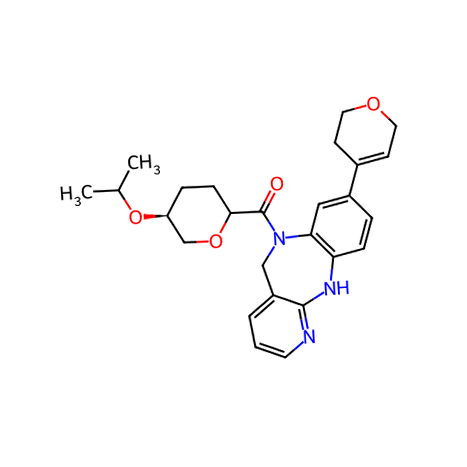 CC(C)O[C@H]1CCC(C(=O)N2Cc3cccnc3Nc3ccc(C4=CCOCC4)cc32)OC1